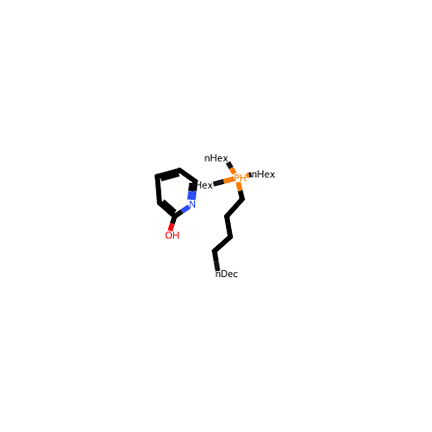 CCCCCCCCCCCCCC[PH](CCCCCC)(CCCCCC)CCCCCC.Oc1ccccn1